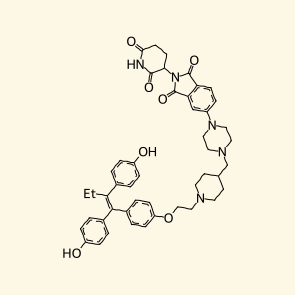 CCC(=C(c1ccc(O)cc1)c1ccc(OCCN2CCC(CN3CCN(c4ccc5c(c4)C(=O)N(C4CCC(=O)NC4=O)C5=O)CC3)CC2)cc1)c1ccc(O)cc1